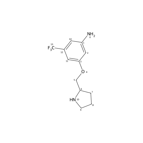 Nc1cc(OCC2CCCN2)cc(C(F)(F)F)c1